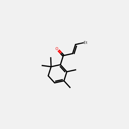 CC/C=C/C(=O)C1=C(C)C(C)=CCC1(C)C